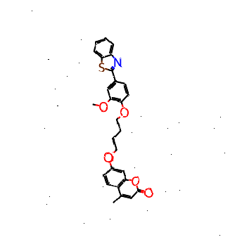 COc1cc(-c2nc3ccccc3s2)ccc1OCCCCOc1ccc2c(C)cc(=O)oc2c1